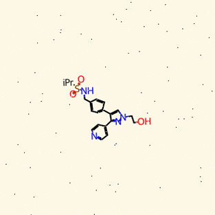 CC(C)S(=O)(=O)NCc1ccc(-c2cn(CCO)nc2-c2ccncc2)cc1